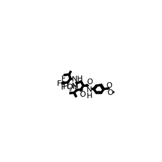 COC(=O)c1ccc(NC(=O)C(CCNC(C(C)C)C(O)C(F)(F)F)C(=O)[C@H](N)C(C)C)cc1